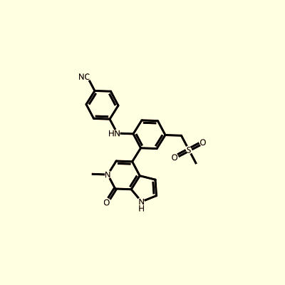 Cn1cc(-c2cc(CS(C)(=O)=O)ccc2Nc2ccc(C#N)cc2)c2cc[nH]c2c1=O